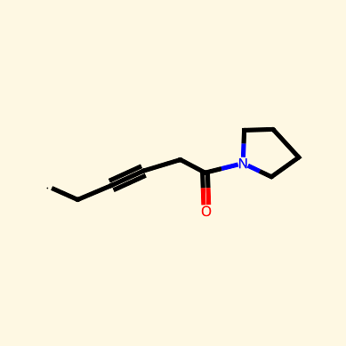 [CH2]CC#CCC(=O)N1CCCC1